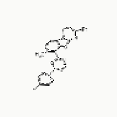 Cc1ccc2c(oc3nc(C(C)C)ccc32)c1-c1cc(-c2ccc(F)cc2)ccn1